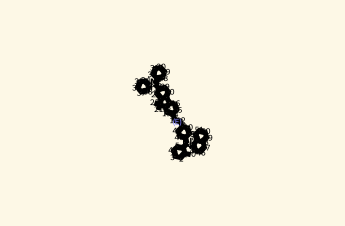 Cc1ccccc1N(c1ccc(/C=C/c2ccc3c(c2)C(C)(C)c2cc(N(c4ccccc4)c4ccccc4)ccc2-3)cc1)c1cccc2ccccc12